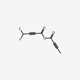 CC#CC(=O)OC(=O)C#CC(F)F